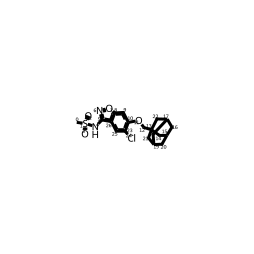 CS(=O)(=O)Nc1noc2cc(OCC34CC5CC(CC(C5)C3)C4)c(Cl)cc12